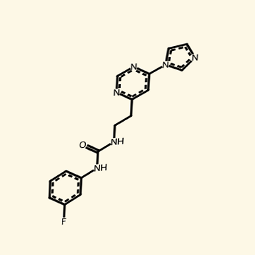 O=C(NCCc1cc(-n2ccnc2)ncn1)Nc1cccc(F)c1